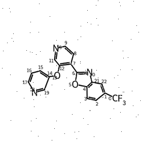 FC(F)(F)c1ccc2oc(-c3ccncc3Oc3cccnc3)nc2c1